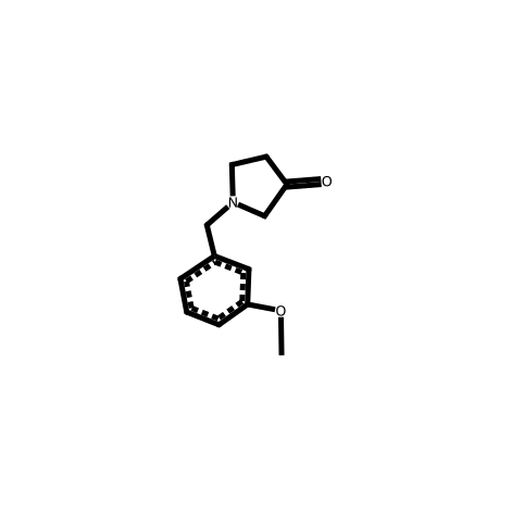 COc1cccc(CN2CCC(=O)C2)c1